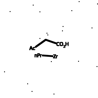 CC(=O)CC(=O)O.CC[CH2][Zr]